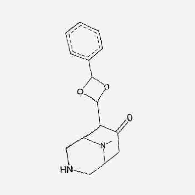 CN1C2CNCC1C(C1OC(c3ccccc3)O1)C(=O)C2